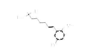 COc1ccc(C(C)C)cc1/C=C/CCCCC(C)(C)O